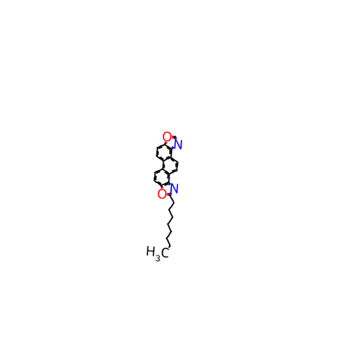 CCCCCCCCc1nc2c(ccc3c4ccc5ocnc5c4ccc32)o1